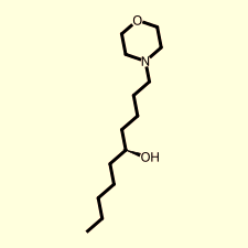 CCCCC[C@H](O)CCCCN1CCOCC1